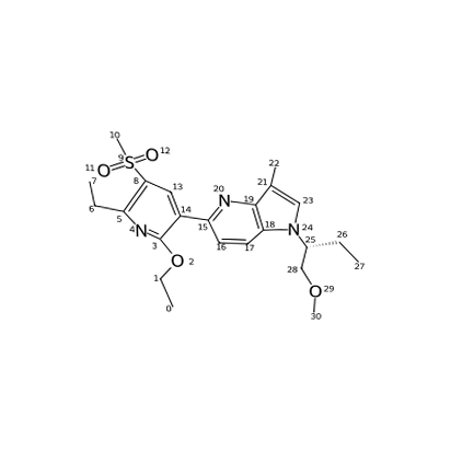 CCOc1nc(CC)c(S(C)(=O)=O)cc1-c1ccc2c(n1)c(C)cn2[C@H](CC)COC